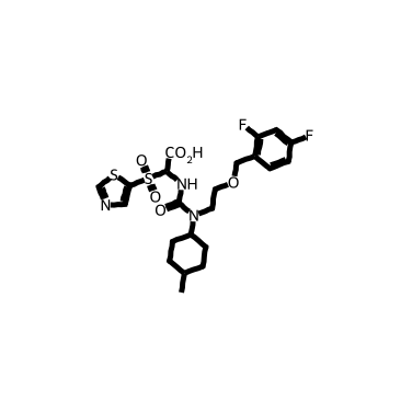 CC1CCC(N(CCOCc2ccc(F)cc2F)C(=O)NC(C(=O)O)S(=O)(=O)c2cncs2)CC1